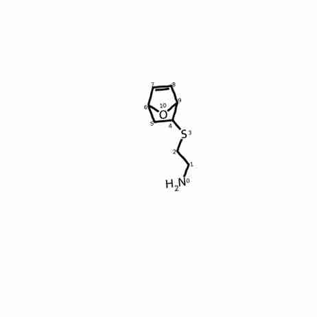 NCCSC1CC2C=CC1O2